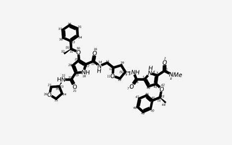 CNC(=O)c1[nH]c(C(=O)N[C@@H]2COC(CNC(=O)c3[nH]c(C(=O)N[C@@H]4CCOC4)cc3O[C@@H](C)c3ccccc3)C2)cc1O[C@@H](C)c1ccccc1